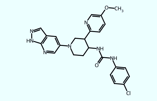 COc1ccc(C2CN(c3cnc4[nH]ncc4c3)CCC2NC(=O)Nc2ccc(Cl)cc2)nc1